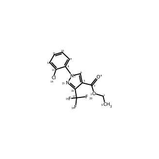 CCOC(=O)c1cn(-c2ccccc2Cl)nc1C(F)(F)F